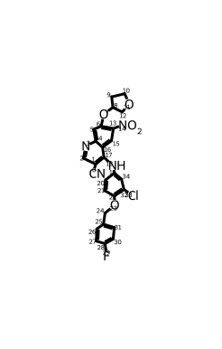 N#Cc1cnc2cc(OC3CCOC3)c([N+](=O)[O-])cc2c1Nc1ccc(OCc2ccc(F)cc2)c(Cl)c1